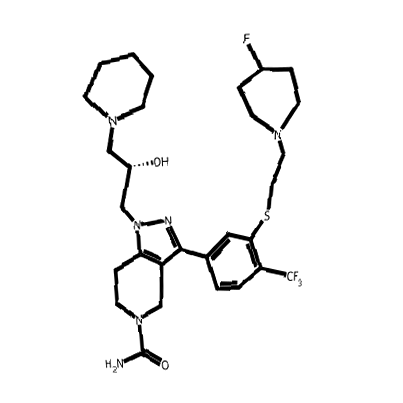 NC(=O)N1CCc2c(c(-c3ccc(C(F)(F)F)c(SCCN4CCC(F)CC4)c3)nn2C[C@@H](O)CN2CCCCC2)C1